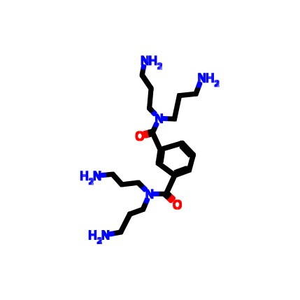 NCCCN(CCCN)C(=O)c1cccc(C(=O)N(CCCN)CCCN)c1